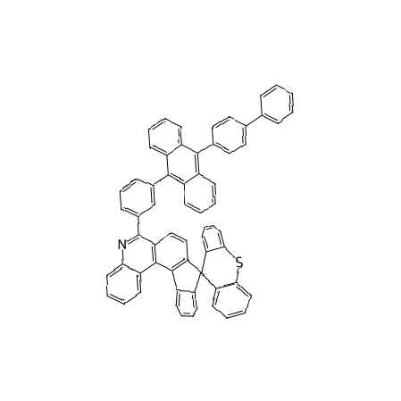 c1ccc(-c2ccc(-c3c4ccccc4c(-c4cccc(-c5nc6ccccc6c6c7c(ccc56)C5(c6ccccc6Sc6ccccc65)c5ccccc5-7)c4)c4ccccc34)cc2)cc1